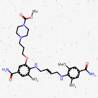 COc1cc(C(N)=O)cc([N+](=O)[O-])c1NC/C=C/CNc1c(OCCCN2CCN(C(=O)OC(C)(C)C)CC2)cc(C(N)=O)cc1[N+](=O)[O-]